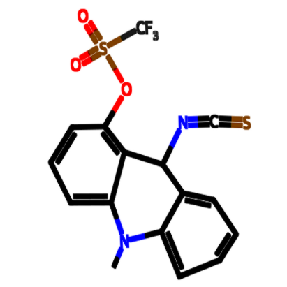 CN1c2ccccc2C(N=C=S)c2c(OS(=O)(=O)C(F)(F)F)cccc21